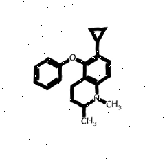 CC1CCc2c(ccc(C3CC3)c2Oc2ccccc2)N1C